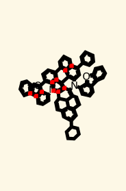 C1=Cc2cc(C3CCCCC3)cc3c2C2C1=C(N(c1cc(-c4ccccc4)ccc1-c1ccccc1)c1cccc4c1oc1ccccc14)C=C(N(c1cc(-c4ccccc4)ccc1-c1ccccc1)c1cccc4c1oc1ccccc14)C2C=C3